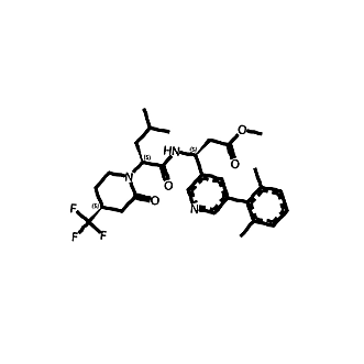 COC(=O)C[C@H](NC(=O)[C@H](CC(C)C)N1CC[C@H](C(F)(F)F)CC1=O)c1cncc(-c2c(C)cccc2C)c1